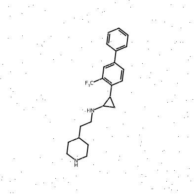 FC(F)(F)c1cc(-c2ccccc2)ccc1C1CC1NCCC1CCNCC1